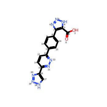 O=C(O)c1[nH]nnc1-c1ccc(-c2ccc(-c3c[nH]nn3)nn2)cc1